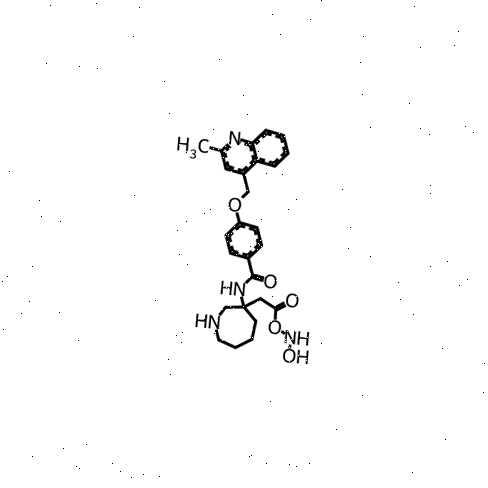 Cc1cc(COc2ccc(C(=O)NC3(CC(=O)ONO)CCCCNC3)cc2)c2ccccc2n1